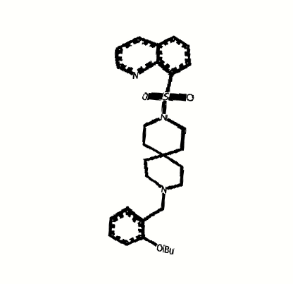 CC(C)COc1ccccc1CN1CCC2(CC1)CCN(S(=O)(=O)c1cccc3cccnc13)CC2